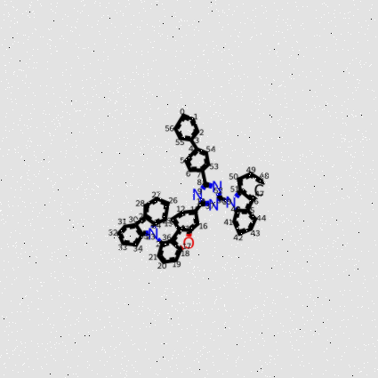 c1ccc(-c2ccc(-c3nc(-c4ccc5c(c4)oc4cccc(-n6c7ccccc7c7ccccc76)c45)nc(-n4c5ccccc5c5ccccc54)n3)cc2)cc1